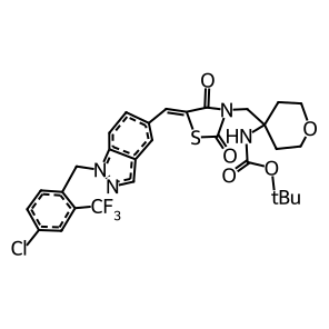 CC(C)(C)OC(=O)NC1(CN2C(=O)SC(=Cc3ccc4c(cnn4Cc4ccc(Cl)cc4C(F)(F)F)c3)C2=O)CCOCC1